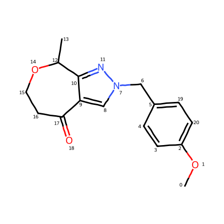 COc1ccc(Cn2cc3c(n2)C(C)OCCC3=O)cc1